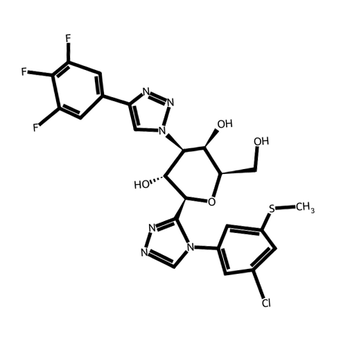 CSc1cc(Cl)cc(-n2cnnc2[C@@H]2O[C@H](CO)[C@H](O)[C@H](n3cc(-c4cc(F)c(F)c(F)c4)nn3)[C@H]2O)c1